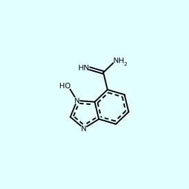 N=C(N)c1cccc2ncn(O)c12